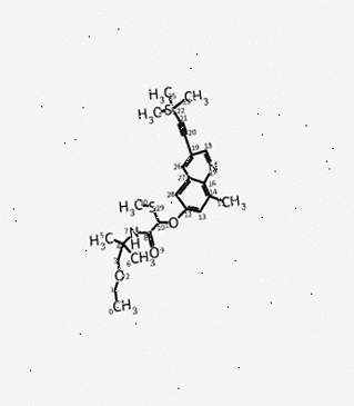 CCOCC(C)(C)NC(=O)C(Oc1cc(C)c2ncc(C#C[Si](C)(C)C)cc2c1)SC